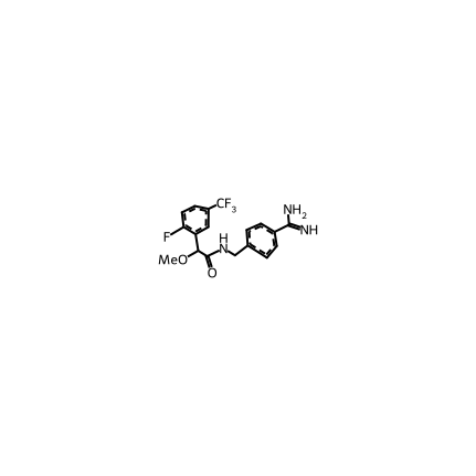 COC(C(=O)NCc1ccc(C(=N)N)cc1)c1cc(C(F)(F)F)ccc1F